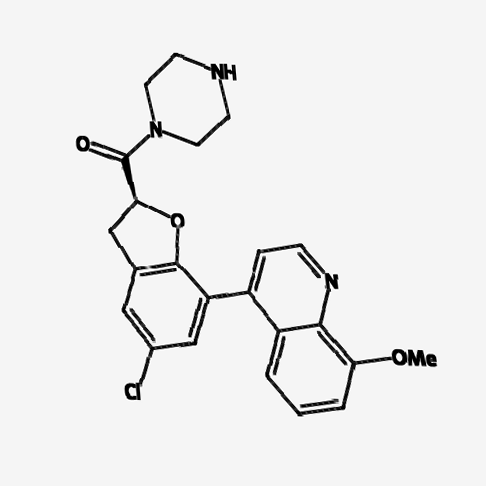 COc1cccc2c(-c3cc(Cl)cc4c3O[C@H](C(=O)N3CCNCC3)C4)ccnc12